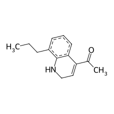 CCCc1cccc2c1NCC=C2C(C)=O